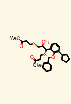 COC(=O)CCSCC(O)C(SCCC(=O)OC)c1cccc(C2CCCC2)c1OCc1ccccc1